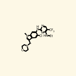 CCNc1nc(Nc2cc3c(cc2Cl)c([C]N2CCOCC2)cn3C)ncc1C(F)(F)F